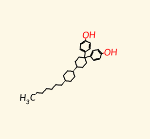 CCCCCCC[C@H]1CC[C@@H](C2CCC(c3ccc(O)cc3)(c3ccc(O)cc3)CC2)CC1